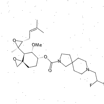 CO[C@@H]1[C@H](OC(=O)N2CCC3(CCN(CC(F)F)CC3)C2)CC[C@]2(CO2)[C@H]1[C@@]1(C)O[C@@H]1CC=C(C)C